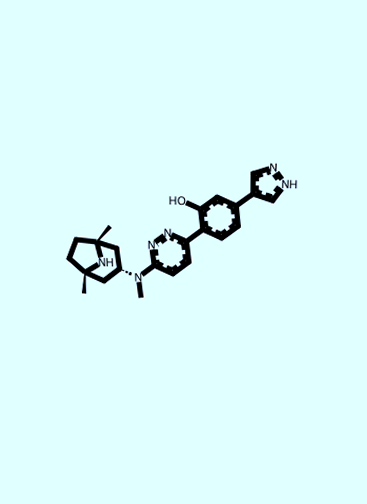 CN(c1ccc(-c2ccc(-c3cn[nH]c3)cc2O)nn1)[C@@H]1C[C@]2(C)CC[C@](C)(C1)N2